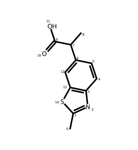 Cc1nc2ccc(C(C)C(=O)O)cc2s1